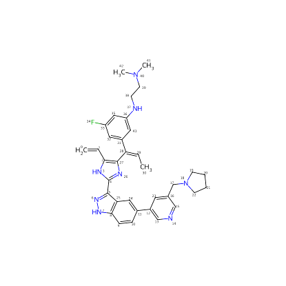 C=Cc1[nH]c(-c2n[nH]c3ccc(-c4cncc(CN5CCCC5)c4)cc23)nc1/C(=C\C)c1cc(F)cc(NCCN(C)C)c1